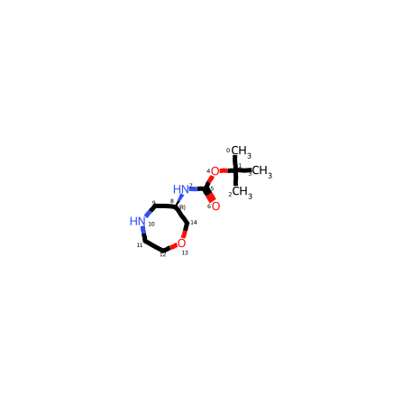 CC(C)(C)OC(=O)N[C@@H]1CNCCOC1